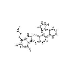 COCCn1c(=O)[nH]c(=O)c2c1nc(C)n2Cc1ccc(-c2ccccc2-c2nnn[nH]2)cc1